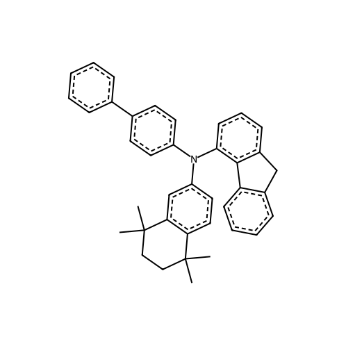 CC1(C)CCC(C)(C)c2cc(N(c3ccc(-c4ccccc4)cc3)c3cccc4c3-c3ccccc3C4)ccc21